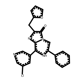 O=c1c(Cc2ccco2)nc2c(-c3cncc(Cl)c3)[nH]c(-c3ccccc3)cn1-2